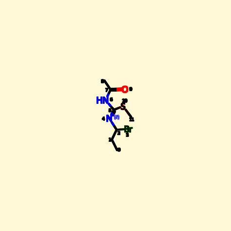 CCC(Br)/N=C(/NC(C)=O)SC